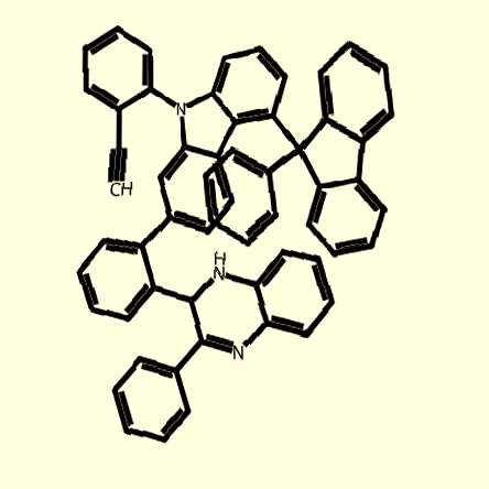 C#Cc1ccccc1-n1c2cc(-c3ccccc3C3Nc4ccccc4N=C3c3ccccc3)ccc2c2c(C3(c4ccccc4)c4ccccc4-c4ccccc43)cccc21